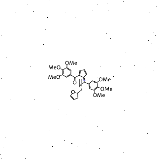 COc1cc(C(=O)C2=CC=C/C2=C(/NCc2ccco2)c2cc(OC)c(OC)c(OC)c2)cc(OC)c1OC